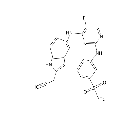 C#CCc1cc2cc(Nc3nc(Nc4cccc(S(N)(=O)=O)c4)ncc3F)ccc2[nH]1